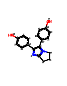 Oc1ccc(-c2nc3n(c2-c2ccc(O)cc2)CCC3)cc1